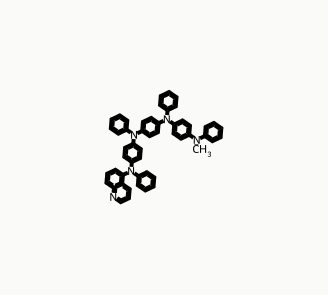 CN(c1ccccc1)c1ccc(N(c2ccccc2)c2ccc(N(c3ccccc3)c3ccc(N(c4ccccc4)c4cccc5ncccc45)cc3)cc2)cc1